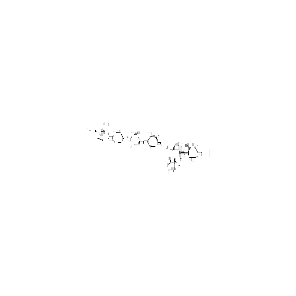 CCC(C)n1ccn(-c2ccc(N3CCN(c4ccc(OC[C@H]5CO[C@](Cn6cncn6)(c6ccc(Cl)cc6Cl)O5)cc4)CC3)cc2)c1=O